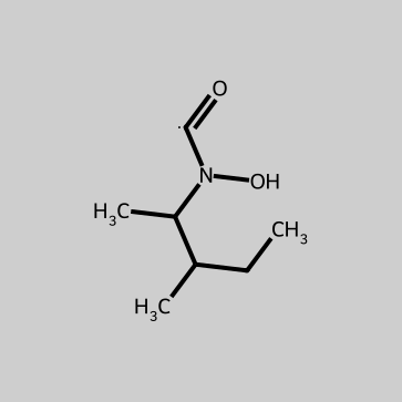 CCC(C)C(C)N(O)[C]=O